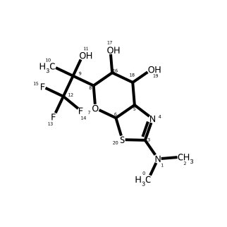 CN(C)C1=NC2C(OC(C(C)(O)C(F)(F)F)C(O)C2O)S1